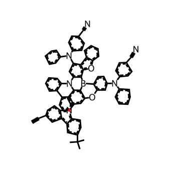 C#Cc1ccc2c(c1)c1cc(C(C)(C)C)ccc1n2-c1cc2c3c(c1)N(c1ccccc1-c1ccccc1)c1cc(N(c4ccccc4)c4ccc(C#N)cc4)c4c(oc5ccccc54)c1B3c1ccc(N(c3ccccc3)c3ccc(C#N)cc3)cc1O2